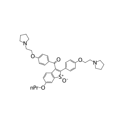 CCCOc1ccc2c(C(=O)c3ccc(OCCN4CCCC4)cc3)c(-c3ccc(OCCN4CCCC4)cc3)[s+]([O-])c2c1